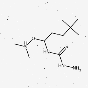 C[SiH](C)OC(CCC(C)(C)C)NC(=S)NN